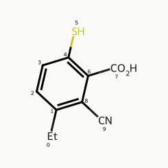 CCc1ccc(S)c(C(=O)O)c1C#N